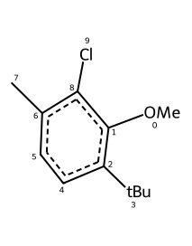 COc1c(C(C)(C)C)ccc(C)c1Cl